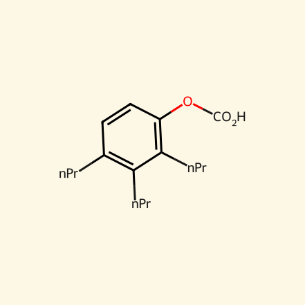 CCCc1ccc(OC(=O)O)c(CCC)c1CCC